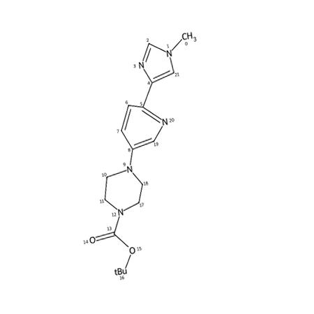 Cn1cnc(-c2ccc(N3CCN(C(=O)OC(C)(C)C)CC3)cn2)c1